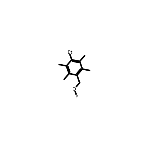 CCc1c(C)c(C)c(C[O][Y])c(C)c1C